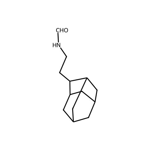 O=CNCCC1C2CC3CC(C2)CC1C3